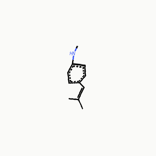 CNc1ccc(C=C(C)C)cc1